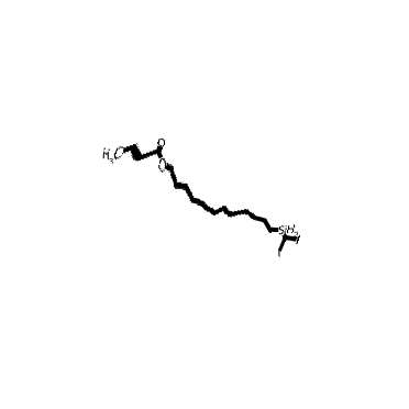 CC=CC(=O)OCCCCCCCCCCCC[SiH2]C(I)I